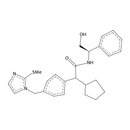 CSc1nccn1Cc1ccc(C(C(=O)N[C@@H](CO)c2ccccc2)C2CCCC2)cc1